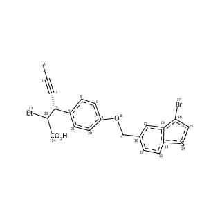 CC#C[C@H](c1ccc(OCc2ccc3scc(Br)c3c2)cc1)C(CC)C(=O)O